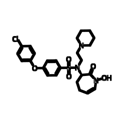 O=C1[C@H](N(CCN2CCCCC2)S(=O)(=O)c2ccc(Oc3ccc(Cl)cc3)cc2)CCC=CN1O